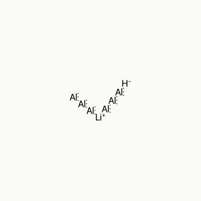 [Al].[Al].[Al].[Al].[Al].[Al].[H-].[Li+]